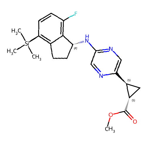 COC(=O)[C@H]1C[C@@H]1c1cnc(N[C@@H]2CCc3c([Si](C)(C)C)ccc(F)c32)cn1